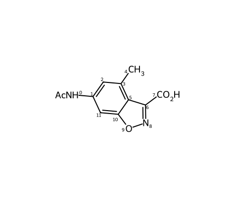 CC(=O)Nc1cc(C)c2c(C(=O)O)noc2c1